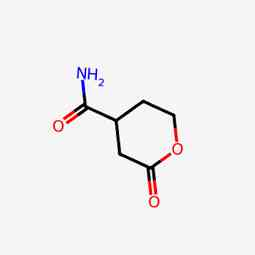 NC(=O)C1CCOC(=O)C1